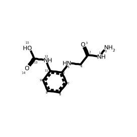 NNC(=O)CNc1ccccc1NC(=O)O